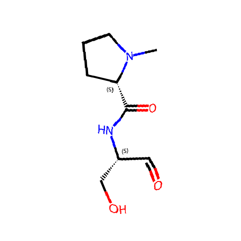 CN1CCC[C@H]1C(=O)N[C@H](C=O)CO